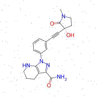 CN1CC[C@@](O)(C#Cc2cccc(-n3nc(C(N)=O)c4c3NCCC4)c2)C1=O